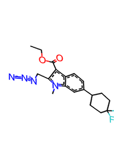 CCOC(=O)c1c(CN=[N+]=[N-])n(C)c2cc(C3CCC(F)(F)CC3)ccc12